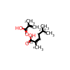 C=C(C)C(=O)O.CC(=CCC(C)C)C(=O)O